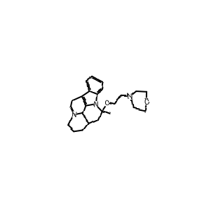 CC1(OCCN2CCOCC2)CC2CCCN3CCc4c(n1c1ccccc41)C23